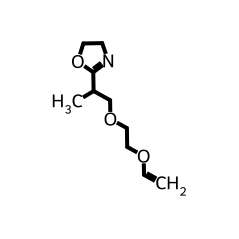 C=COCCOCC(C)C1=NCCO1